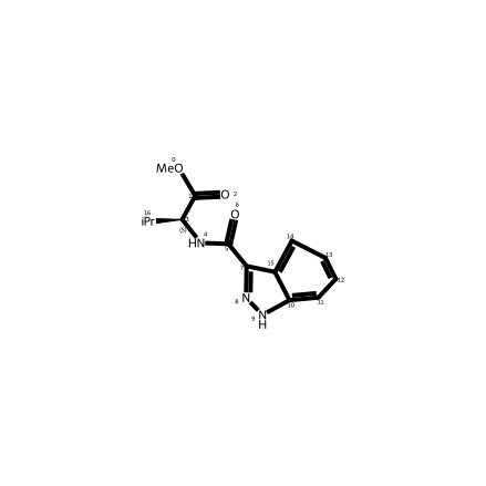 COC(=O)[C@@H](NC(=O)c1n[nH]c2ccccc12)C(C)C